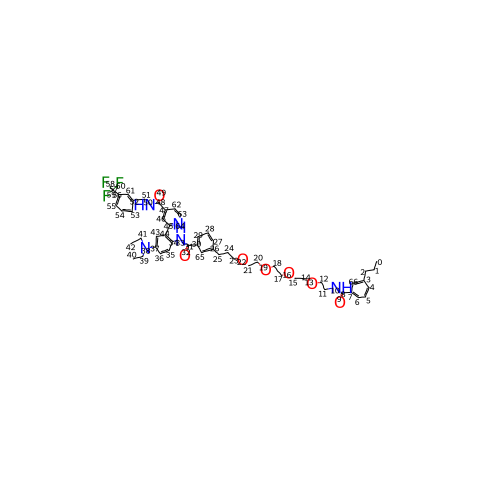 CCCc1cccc(C(=O)NCCOCCOCCOCCOCCCc2cccc(C(=O)Nc3ccc(N(CC)CC)cc3-c3cc(C(=O)NCc4cccc(C(F)(F)F)c4)ccn3)c2)c1